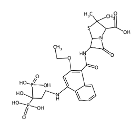 CCOc1cc(NCCC(O)(P(=O)(O)O)P(=O)(O)O)c2ccccc2c1C(=O)NC1C(=O)N2C1SC(C)(C)C2C(=O)O